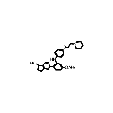 COc1ccc(-c2ccc3c(c2)CCC3O)c(Nc2ccc(OCCN3CCCCC3)cc2)c1